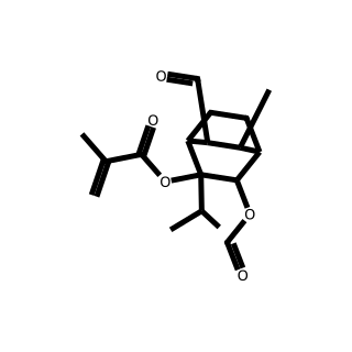 C=C(C)C(=O)OC1(C(C)C)C2CCC(C(C)C2C=O)C1OC=O